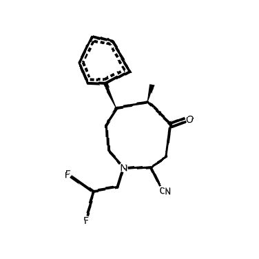 C[C@H]1C(=O)CC(C#N)N(CC(F)F)CC[C@H]1c1ccccc1